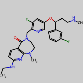 CCNc1ccc2c(n1)N(C)CCN(Cc1ncc(O[C@@H](CCNC)c3cccc(F)c3)cc1F)C2=O